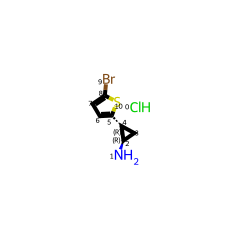 Cl.N[C@@H]1C[C@H]1c1ccc(Br)s1